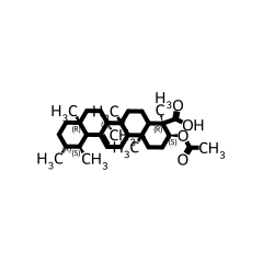 CC(=O)O[C@H]1CC[C@@]2(C)C(CC[C@]3(C)C2CC=C2C4[C@@H](C)[C@H](C)CC[C@]4(C)CC[C@]23C)[C@@]1(C)C(=O)O